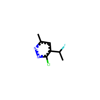 Cc1cc(C(C)F)c(Cl)nn1